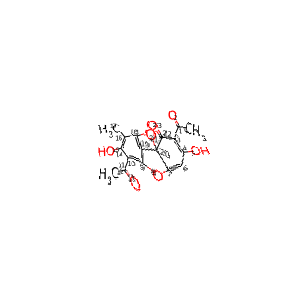 CC(=O)C1=C(O)C=C2Oc3c(C(C)=O)c(O)c(C)c4c3C2(O4)C1=O